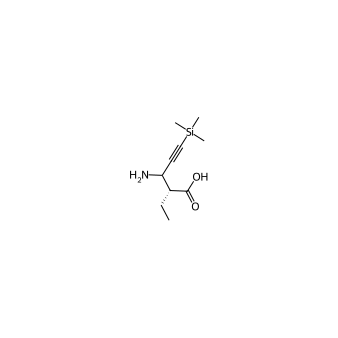 CC[C@@H](C(=O)O)C(N)C#C[Si](C)(C)C